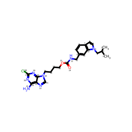 CC(C)Cn1ccc2ccc(CNC(=O)OCCCCn3cnc4c(N)nc(Cl)nc43)cc21